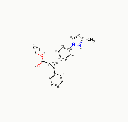 CCOC(=O)[C@@H]1[C@H](c2ccccc2)[C@H]1c1ccc(-n2ccc(C)n2)cc1